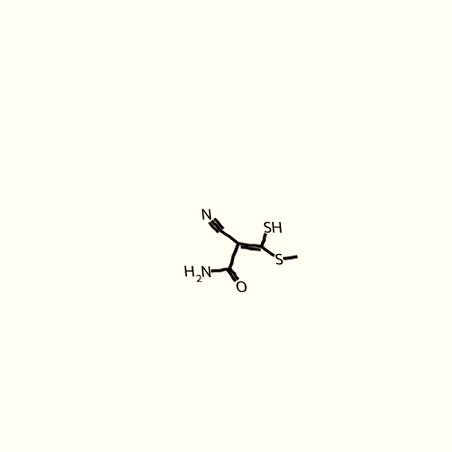 CSC(S)=C(C#N)C(N)=O